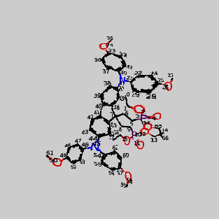 CCOP(=O)(CCC1(CCP(=O)(OCC)OCC)c2cc(N(c3ccc(OC)cc3)c3ccc(OC)cc3)ccc2-c2ccc(N(c3ccc(OC)cc3)c3ccc(OC)cc3)cc21)OCC